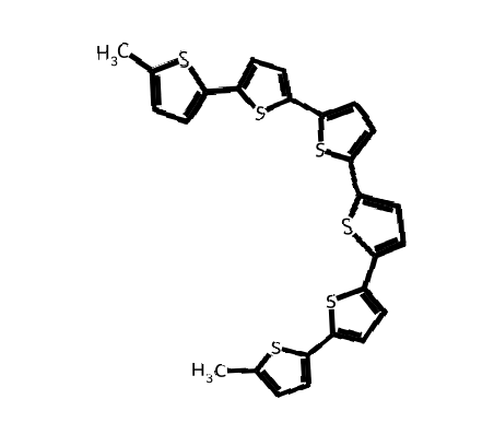 Cc1ccc(-c2ccc(-c3ccc(-c4ccc(-c5ccc(-c6ccc(C)s6)s5)s4)s3)s2)s1